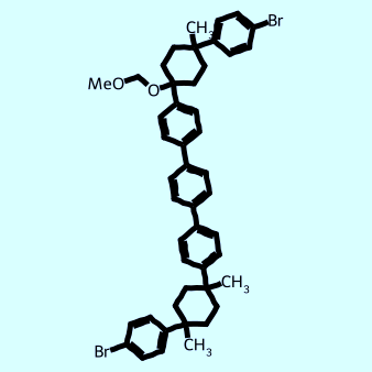 COCOC1(c2ccc(-c3ccc(-c4ccc(C5(C)CCC(C)(c6ccc(Br)cc6)CC5)cc4)cc3)cc2)CCC(C)(c2ccc(Br)cc2)CC1